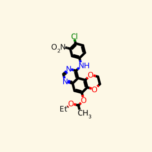 CCOC(C)Oc1cc2ncnc(Nc3ccc(Cl)c([N+](=O)[O-])c3)c2c2c1OCCO2